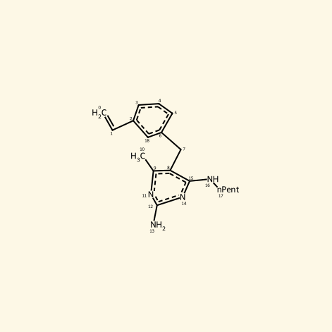 C=Cc1cccc(Cc2c(C)nc(N)nc2NCCCCC)c1